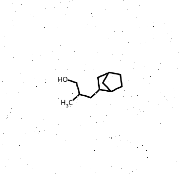 CC(CO)CC1CC2CCC1C2